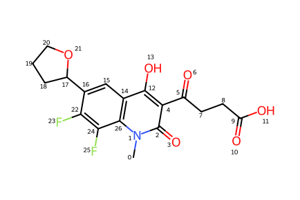 Cn1c(=O)c(C(=O)CCC(=O)O)c(O)c2cc(C3CCCO3)c(F)c(F)c21